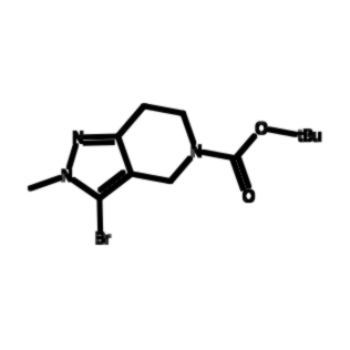 Cn1nc2c(c1Br)CN(C(=O)OC(C)(C)C)CC2